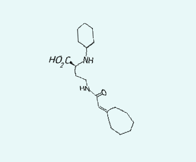 O=C(C=C1CCCCCC1)NCC[C@H](NC1CCCCC1)C(=O)O